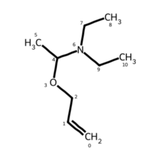 C=CCOC(C)N(CC)CC